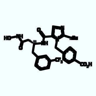 CCCCc1ncc(C(=O)N[C@@H](CC(=O)NO)Cc2cccc(C(F)(F)F)c2)n1Cc1ccc(C(=O)O)cc1